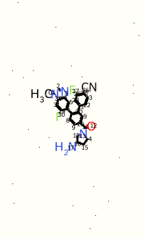 Cn1cnc2cc(-c3ccc(C(=O)N4CC[C@H](N)C4)cc3-c3ccc(C#N)c(F)c3)c(F)cc21